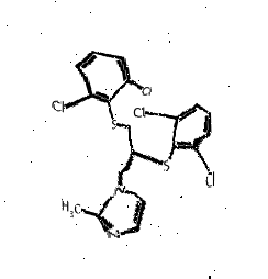 Cc1nccn1CC(CSc1c(Cl)cccc1Cl)Sc1c(Cl)cccc1Cl